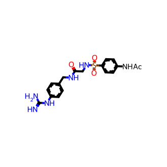 CC(=O)Nc1ccc(S(=O)(=O)NCC(=O)NCc2ccc(NC(=N)N)cc2)cc1